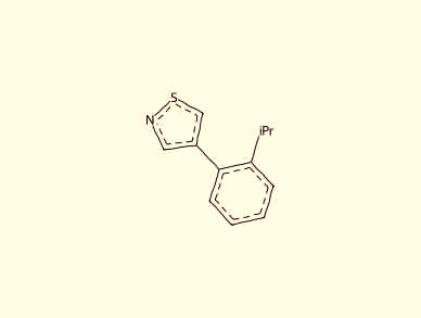 CC(C)c1ccccc1-c1cnsc1